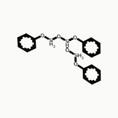 c1ccc(O[SiH2]O[SiH](O[SiH2]Oc2ccccc2)Oc2ccccc2)cc1